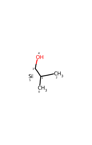 CC(C)CO.[Si]